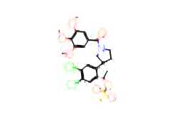 COc1cc(C(=O)N2CC[C@@](CCOS(C)(=O)=O)(c3ccc(Cl)c(Cl)c3)C2)cc(OC)c1OC